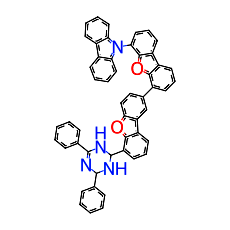 c1ccc(C2=NC(c3ccccc3)NC(c3cccc4c3oc3ccc(-c5cccc6c5oc5c(-n7c8ccccc8c8ccccc87)cccc56)cc34)N2)cc1